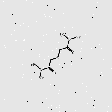 CCCN(C)C(=O)COCC(=O)N(CCC)CCC